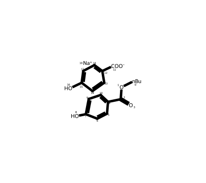 CCCCOC(=O)c1ccc(O)cc1.O=C([O-])c1ccc(O)cc1.[Na+]